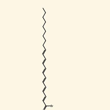 CCCCCCCCCC=CC=CC=CC=CC=CC=CC(=O)Br